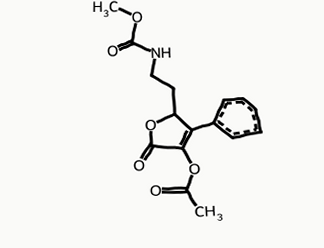 COC(=O)NCCC1OC(=O)C(OC(C)=O)=C1c1ccccc1